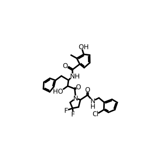 Cc1c(O)cccc1C(=O)NC(Cc1ccccc1)C(O)C(=O)N1CC(F)(F)CC1C(=O)NCc1ccccc1Cl